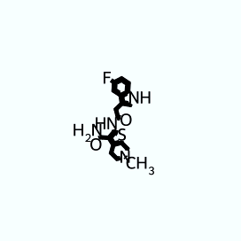 CN1CCc2c(sc(NC(=O)Cc3c[nH]c4ccc(F)cc34)c2C(N)=O)C1